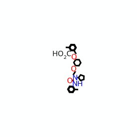 Cc1ccccc1NC(=O)N(CCOC1CCCC(OCc2cccc(C)c2C(=O)O)C1)C1CCCC1